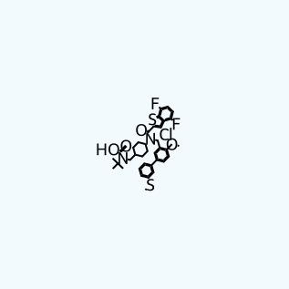 COc1ccc(-c2cccc(SC)c2)cc1CN(C(=O)c1sc2c(F)ccc(F)c2c1Cl)C1CCC(CN(C(=O)O)C(C)(C)C)CC1